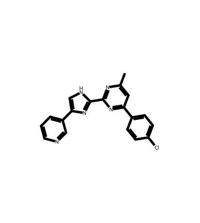 Cc1cc(-c2ccc(Cl)cc2)nc(-c2nc(-c3cccnc3)c[nH]2)n1